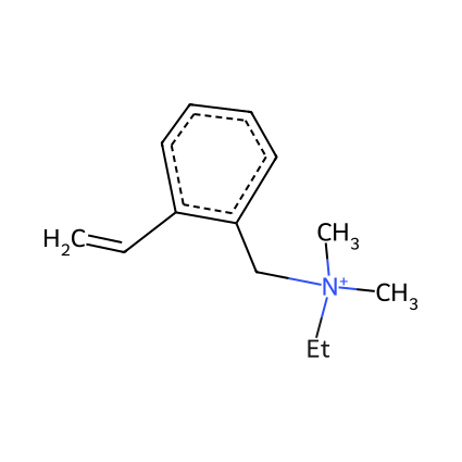 C=Cc1ccccc1C[N+](C)(C)CC